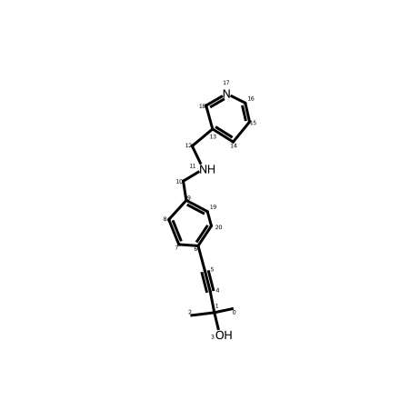 CC(C)(O)C#Cc1ccc(CNCc2cccnc2)cc1